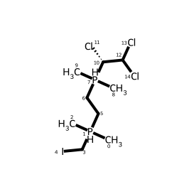 C[PH](C)(CI)CC[PH](C)(C)[C@H](Cl)C(Cl)Cl